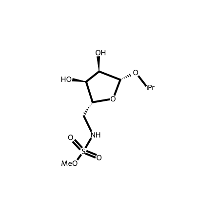 COS(=O)(=O)NC[C@H]1O[C@@H](OC(C)C)[C@H](O)[C@@H]1O